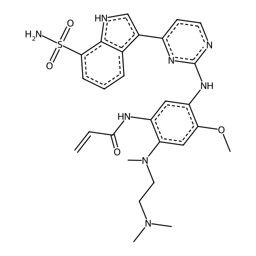 C=CC(=O)Nc1cc(Nc2nccc(-c3c[nH]c4c(S(N)(=O)=O)cccc34)n2)c(OC)cc1N(C)CCN(C)C